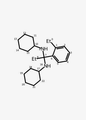 CCc1ccccc1C(CC)(NC1CCCCC1)NC1CCCCC1